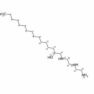 CCCCCCCCCCCCCCC(O)CNCCNCCN